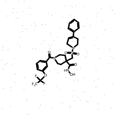 O=C(c1cccc(OC(F)(F)C(F)(F)F)c1)N1CCC(CS(=O)(=O)N2CC=C(c3ccccc3)CC2)(C(=O)NO)CC1